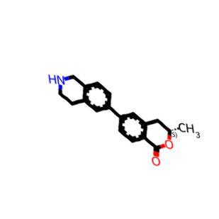 C[C@H]1Cc2cc(-c3ccc4c(c3)CCNC4)ccc2C(=O)O1